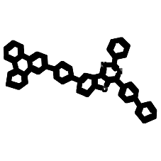 c1ccc(-c2ccc(-c3nc(-c4ccccc4)nc4c3oc3ccc(-c5ccc(-c6ccc7c8ccccc8c8ccccc8c7c6)cc5)cc34)cc2)cc1